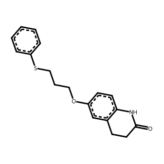 O=C1CCc2cc(OCCCSc3ccccc3)ccc2N1